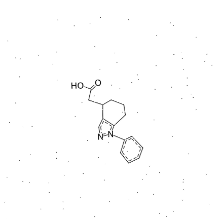 O=C(O)CC1CCCc2c1cnn2-c1ccccc1